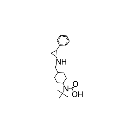 CC(C)(C)N(C(=O)O)C1CCC(CNC2CC2c2ccccc2)CC1